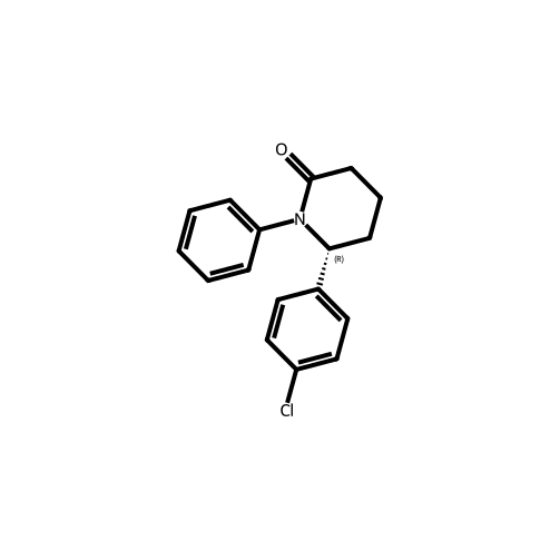 O=C1CCC[C@H](c2ccc(Cl)cc2)N1c1ccccc1